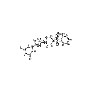 Cc1cc(C)cc(-c2csc(N3CCN(S(=O)(=O)c4ccccc4Br)CC3)n2)c1